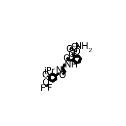 CC(C)Oc1cc(-c2nc(CNC(=O)c3ccccc3OS(=O)(=O)ON)co2)ccc1OC(F)F